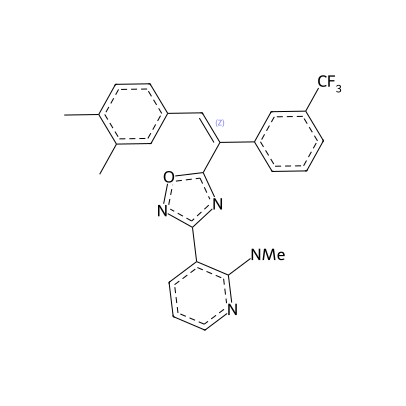 CNc1ncccc1-c1noc(/C(=C\c2ccc(C)c(C)c2)c2cccc(C(F)(F)F)c2)n1